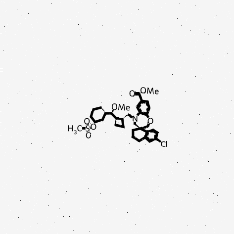 COC(=O)c1ccc2c(c1)N(C[C@@H]1CC[C@H]1[C@H](OC)[C@H]1CCC[C@@H](OS(C)(=O)=O)C1)C[C@@]1(CCCc3cc(Cl)ccc31)CO2